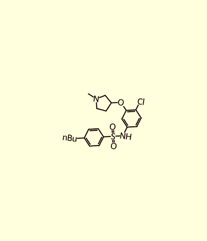 CCCCc1ccc(S(=O)(=O)Nc2ccc(Cl)c(OC3CCN(C)C3)c2)cc1